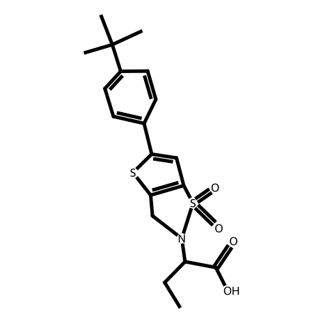 CCC(C(=O)O)N1Cc2sc(-c3ccc(C(C)(C)C)cc3)cc2S1(=O)=O